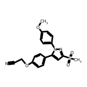 COc1ccc(-n2nc(S(C)(=O)=O)cc2-c2ccc(OCC#N)cc2)cc1